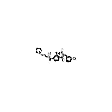 COc1cccc(Cn2c(=O)[nH]c3cc(C(=O)NCCCN4CCCCC4)ccc3c2=O)c1